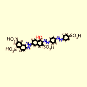 O=S(=O)(O)c1ccc(N=Nc2ccc(N=Nc3c(S(=O)(=O)O)cc4cc(-n5nc6ccc7c(S(=O)(=O)O)cc(S(=O)(=O)O)cc7c6n5)ccc4c3O)cc2)cc1